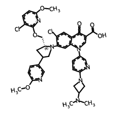 COc1ccc(C2C[C@H](COc3nc(OC)ccc3Cl)N(c3cc4c(cc3Cl)c(=O)c(C(=O)O)cn4-c3ccc(N4CC(N(C)C)C4)nc3)C2)cn1